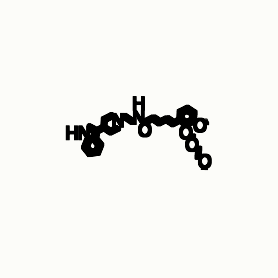 COCCOCOc1c(C=CC=CC(=O)NCCN2CCC(c3c[nH]c4ccccc34)CC2)cccc1OC